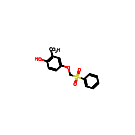 O=C(O)c1cc(OCS(=O)(=O)c2ccccc2)ccc1O